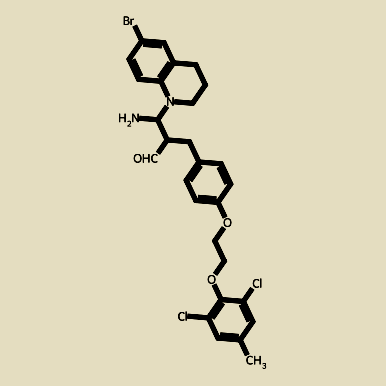 Cc1cc(Cl)c(OCCOc2ccc(CC(C=O)C(N)N3CCCc4cc(Br)ccc43)cc2)c(Cl)c1